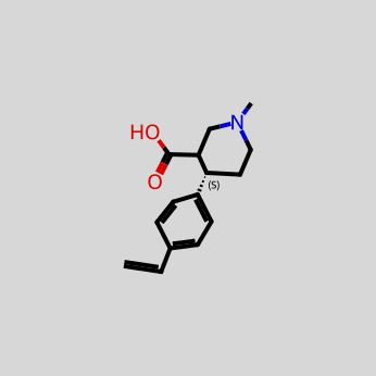 C=Cc1ccc([C@H]2CCN(C)CC2C(=O)O)cc1